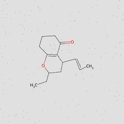 CC=CC1CC(CC)OC2=C1C(=O)CCC2